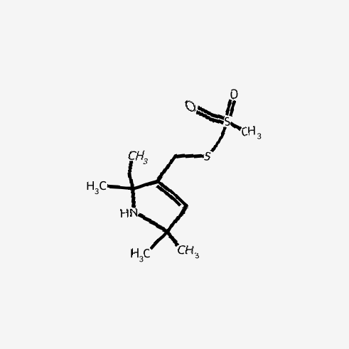 CC1(C)C=C(CSS(C)(=O)=O)C(C)(C)N1